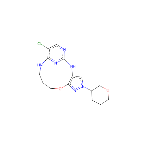 Clc1cnc2nc1NCCCOc1nn(C3CCCOC3)cc1N2